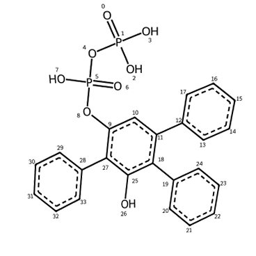 O=P(O)(O)OP(=O)(O)Oc1cc(-c2ccccc2)c(-c2ccccc2)c(O)c1-c1ccccc1